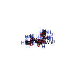 CNNC(=O)c1ccc2c(c1)C1(OC2=O)c2ccc(NC(=O)C(CCCNC(=N)N)NC(=O)C(CCCNC(=N)N)NC(=O)OCc3ccccc3)cc2Oc2cc(NC(=O)C(CCCNC(=N)N)NC(=O)C(CCCNC(=N)N)NC(=O)OCc3ccccc3)ccc21